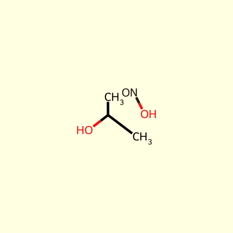 CC(C)O.O=NO